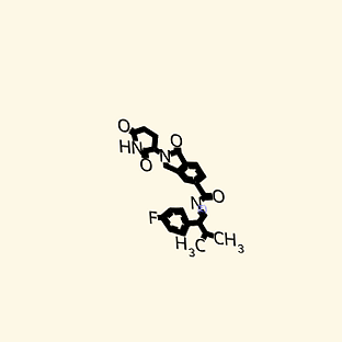 CC(C)C(/C=N/C(=O)c1ccc2c(c1)CN(C1CCC(=O)NC1=O)C2=O)c1ccc(F)cc1